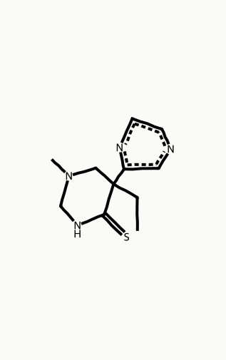 CCC1(c2cnccn2)CN(C)CNC1=S